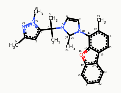 Cc1cc(C(C)(C)N2C=CN(c3c(C)ccc4c3oc3ccccc34)[C@H]2C)n(C)n1